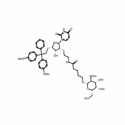 COc1ccc(C(OC[C@@H]2O[C@@H](n3ccc(=O)[nH]c3=O)[C@H](CCCNC(=O)CCCCO[C@H]3O[C@@H](COC(C)=O)[C@@H](OC(C)=O)[C@@H](OC(C)=O)[C@@H]3NC(C)=O)[C@@H]2O)(c2ccccc2)c2ccc(OC)cc2)cc1